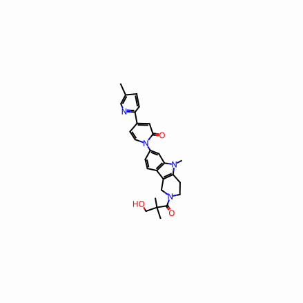 Cc1ccc(-c2ccn(-c3ccc4c5c(n(C)c4c3)CCN(C(=O)C(C)(C)CO)C5)c(=O)c2)nc1